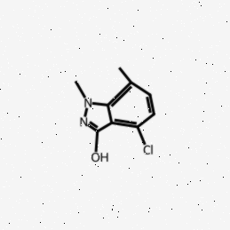 Cc1ccc(Cl)c2c(O)nn(C)c12